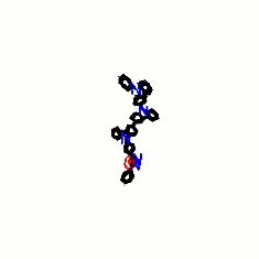 C1=CC2C(C=C1C1C=c3c(n(-c4ccc(-c5nnc(-c6ccccc6)o5)cc4)c4ccccc34)=CC1)c1ccccc1N2c1ccc2c(c1)c1ccccc1n2-c1ccccc1